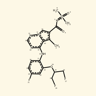 Cc1c(C(=O)N=S(C)(C)=O)cn2ncnc(Nc3ccc(F)cc3OC(CF)CF)c12